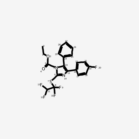 CCOC(=O)n1c(SC(F)(F)C(F)F)nc(-c2ccc(F)cc2)c1-c1ccccc1